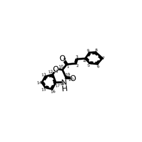 O=C(C=Cc1ccccc1)C1Oc2ccccc2NC1=O